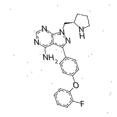 Nc1ncnc2c1c(-c1ccc(Oc3ccccc3F)cc1)nn2C[C@H]1CCCN1